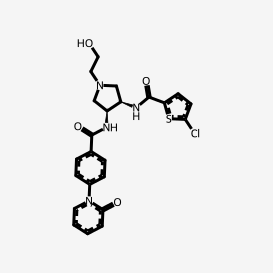 O=C(N[C@H]1CN(CCO)C[C@H]1NC(=O)c1ccc(Cl)s1)c1ccc(-n2ccccc2=O)cc1